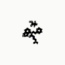 CN(C)C/C=C/C(=O)N(CCc1ccccn1)c1cccc2c1CNC2.O=C(O)C(F)(F)F